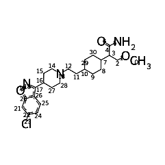 COCC(C(N)=O)C1CCC(CCN2CCC(c3noc4cc(Cl)ccc34)CC2)CC1